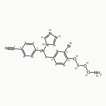 N#Cc1ccc(N(Cc2ccc(OSOON)c(Br)c2)n2cnnc2)cc1